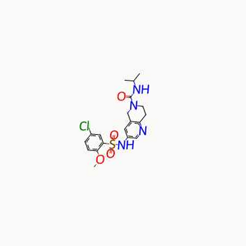 COc1ccc(Cl)cc1S(=O)(=O)Nc1cnc2c(c1)CN(C(=O)NC(C)C)CC2